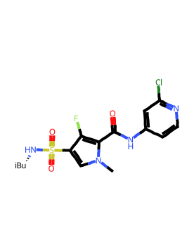 CC[C@@H](C)NS(=O)(=O)c1cn(C)c(C(=O)Nc2ccnc(Cl)c2)c1F